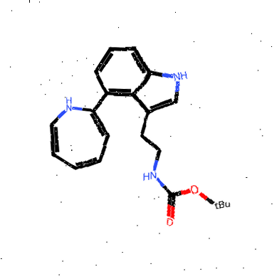 CC(C)(C)OC(=O)NCCc1c[nH]c2cccc(C3=CC=CC=CN3)c12